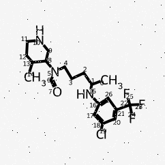 CC(CCCN(C=O)C1CNCCC1C)Nc1cc(Cl)cc(C(F)(F)F)c1